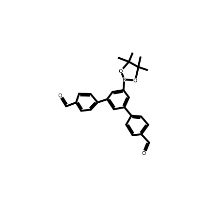 CC1(C)OB(c2cc(-c3ccc(C=O)cc3)cc(-c3ccc(C=O)cc3)c2)OC1(C)C